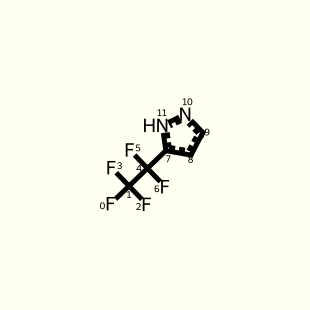 FC(F)(F)C(F)(F)c1c[c]n[nH]1